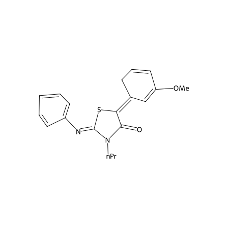 CCCN1C(=O)C(=C2C=C(OC)C=CC2)SC1=Nc1ccccc1